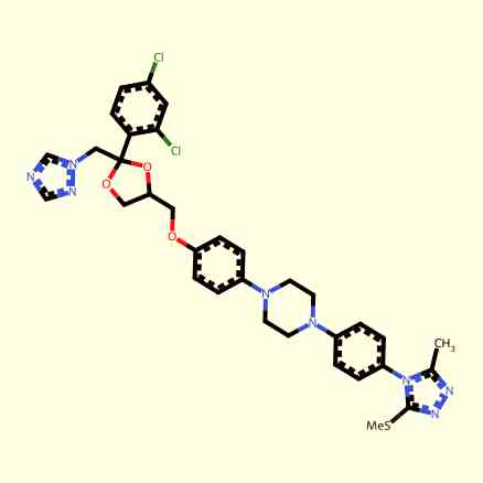 CSc1nnc(C)n1-c1ccc(N2CCN(c3ccc(OCC4COC(Cn5cncn5)(c5ccc(Cl)cc5Cl)O4)cc3)CC2)cc1